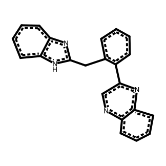 c1ccc(-c2cnc3ccccc3n2)c(Cc2nc3ccccc3[nH]2)c1